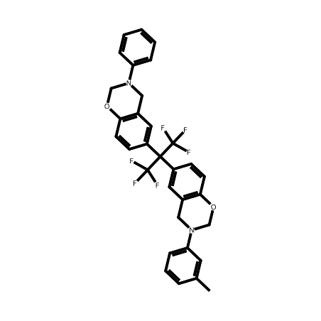 Cc1cccc(N2COc3ccc(C(c4ccc5c(c4)CN(c4ccccc4)CO5)(C(F)(F)F)C(F)(F)F)cc3C2)c1